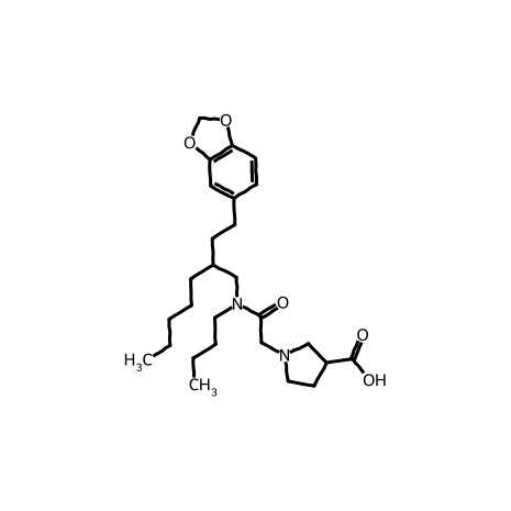 CCCCCC(CCc1ccc2c(c1)OCO2)CN(CCCC)C(=O)CN1CCC(C(=O)O)C1